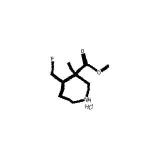 COC(=O)C1(C)CNCCC1CF.Cl